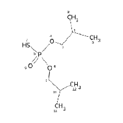 CC(C)COP(=O)(S)OCC(C)C